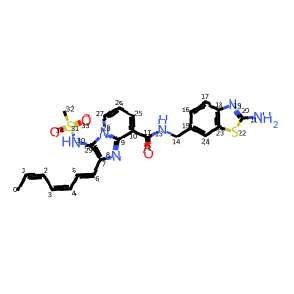 C\C=C/C=C\C=C\c1nc2c(C(=O)NCc3ccc4nc(N)sc4c3)cccn2c1NS(C)(=O)=O